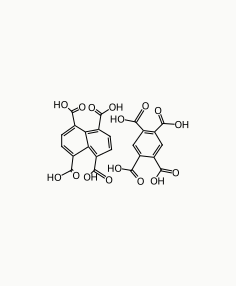 O=C(O)c1cc(C(=O)O)c(C(=O)O)cc1C(=O)O.O=C(O)c1ccc(C(=O)O)c2c(C(=O)O)ccc(C(=O)O)c12